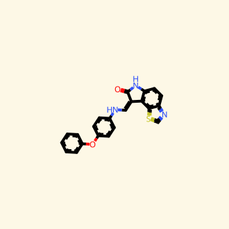 O=C1Nc2ccc3ncsc3c2/C1=C/Nc1ccc(Oc2ccccc2)cc1